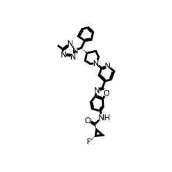 Cc1nnn([C@H](c2ccccc2)C2CCN(c3cc(-c4nc5ccc(NC(=O)[C@@H]6C[C@@H]6F)cc5o4)ccn3)CC2)n1